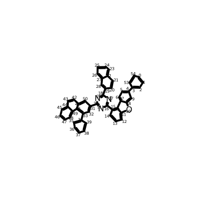 c1ccc(-c2ccc3c(c2)oc2cccc(-c4nc(-c5ccc6ccccc6c5)nc(-c5cc(-c6ccccc6)c6c(ccc7ccccc76)c5)n4)c23)cc1